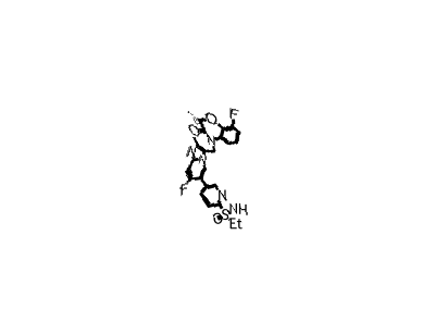 CCS(=N)(=O)c1ccc(-c2cn3c(CN4C(=O)[C@H](C)Oc5c(F)cccc54)c(C)nc3cc2F)cn1